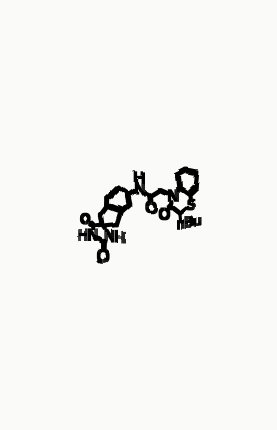 CCCCC1Sc2ccccc2N(CC(=O)Nc2ccc3c(c2)CC2(C3)NC(=O)NC2=O)C1=O